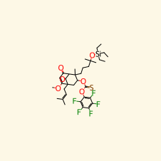 CC[Si](CC)(CC)OC(C)(C)CCCC1(C)C(OC(=S)Oc2c(F)c(F)c(F)c(F)c2F)CC2(CC=C(C)C)C(=O)C1C(=O)C=C2OC